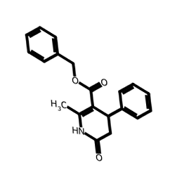 CC1=C(C(=O)OCc2ccccc2)C(c2ccccc2)CC(=O)N1